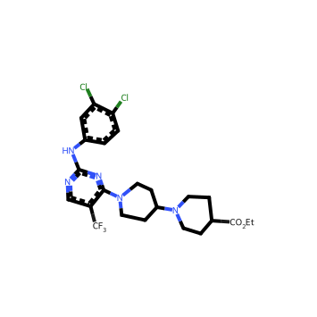 CCOC(=O)C1CCN(C2CCN(c3nc(Nc4ccc(Cl)c(Cl)c4)ncc3C(F)(F)F)CC2)CC1